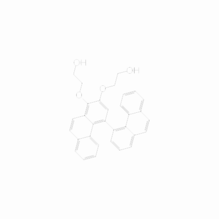 OCCOc1cc(-c2cccc3ccc4ccccc4c23)c2c(ccc3ccccc32)c1OCCO